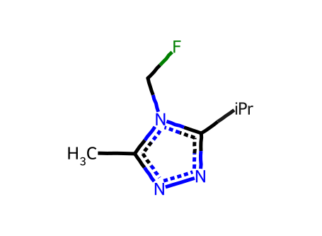 Cc1nnc(C(C)C)n1CF